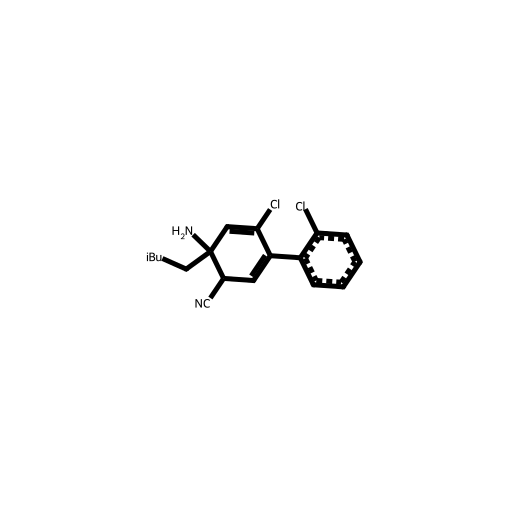 CCC(C)CC1(N)C=C(Cl)C(c2ccccc2Cl)=CC1C#N